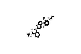 CCCSc1ccc(F)c(-n2ccc3nc(N(C)C4CCCCN4C(=O)OC(C)(C)C)ccc32)c1F